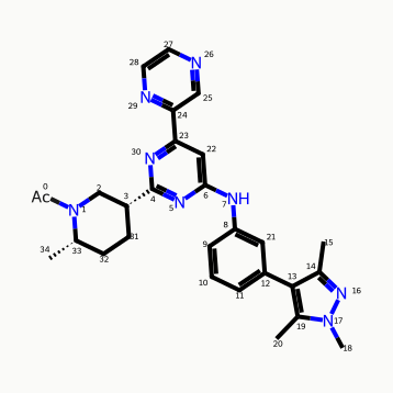 CC(=O)N1C[C@H](c2nc(Nc3cccc(-c4c(C)nn(C)c4C)c3)cc(-c3cnccn3)n2)CC[C@@H]1C